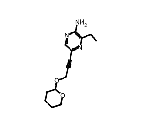 CCc1nc(C#CCOC2CCCCO2)cnc1N